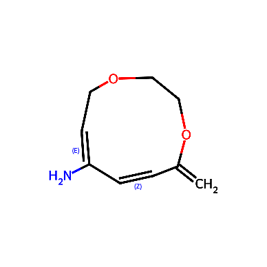 C=C1/C=C\C(N)=C/COCCO1